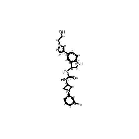 O=C(NC1CN(c2cccc(F)c2)C1)NC1CNc2ccc(-c3cnn(CCO)c3)cc21